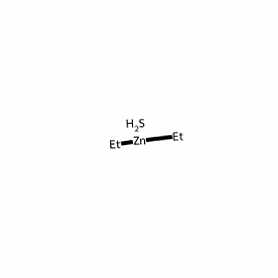 C[CH2][Zn][CH2]C.S